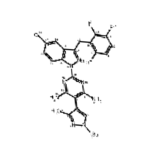 Cc1nn(C(C)(C)C)cc1-c1c(N)nc(-n2nc(Cc3c(F)ccc(F)c3F)c3cc(Cl)ccc32)nc1N